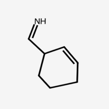 N=CC1C=CCCC1